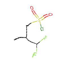 CC(CS(=O)(=O)Cl)C(F)F